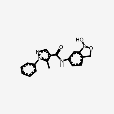 Cc1c(C(=O)Nc2ccc3c(c2)B(O)OC3)cnn1-c1ccccc1